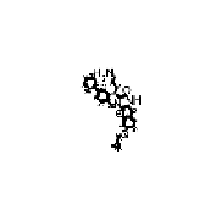 NCCCCC1C(=O)NC(Cc2ccc(OCC3CC3)cc2)C(=O)N1Cc1ccc(-c2ccccc2)cc1